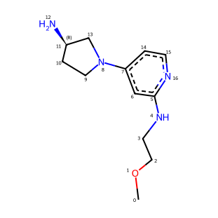 COCCNc1cc(N2CC[C@@H](N)C2)ccn1